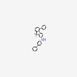 CC1(C)c2cc(Nc3ccc(-c4ccccc4)cc3)ccc2-c2c(-c3ccccc3)cccc21